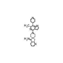 Cc1nc(N2CCC3(CC2)Cc2ncccc2[C@H]3N)c2ccnn2c1-c1ccncc1